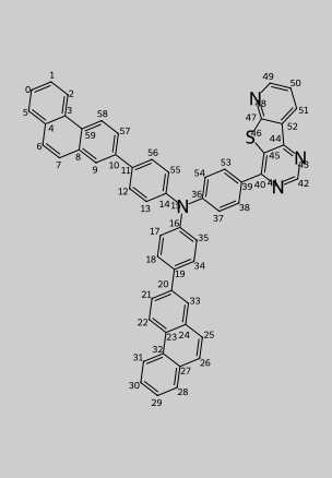 c1ccc2c(c1)ccc1cc(-c3ccc(N(c4ccc(-c5ccc6c(ccc7ccccc76)c5)cc4)c4ccc(-c5ncnc6c5sc5ncccc56)cc4)cc3)ccc12